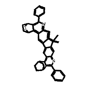 CC1(C)c2cc3nc(-c4ccccc4)c4c(c3cc2-c2cc3c5c(c(-c6ccccc6)nc3cc21)C1CCC5O1)C1CCC4CC1